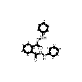 O=C(ONc1ccccc1)c1ccccc1C(=O)ONc1ccccc1